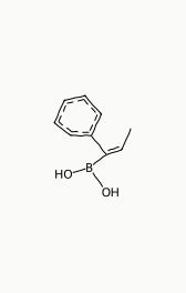 C/C=C(/B(O)O)c1ccccc1